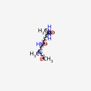 CC(=O)/C=C/CN(C)CCCCNC(=O)CCCCCC1NC(=O)NC1C